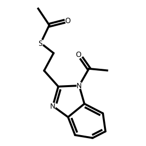 CC(=O)SCCc1nc2ccccc2n1C(C)=O